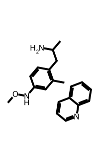 CONc1ccc(CC(C)N)c(C)c1.c1ccc2ncccc2c1